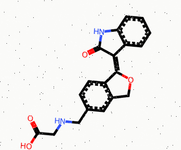 O=C(O)CNCc1ccc2c(c1)COC2=C1C(=O)Nc2ccccc21